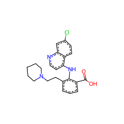 O=C(O)c1cccc(CCN2CCCCC2)c1Nc1ccnc2cc(Cl)ccc12